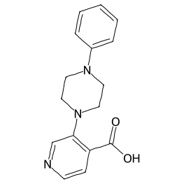 O=C(O)c1ccncc1N1CCN(c2ccccc2)CC1